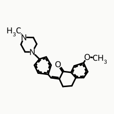 COc1ccc2c(c1)C(=O)C(=Cc1ccc(N3CCN(C)CC3)cc1)CC2